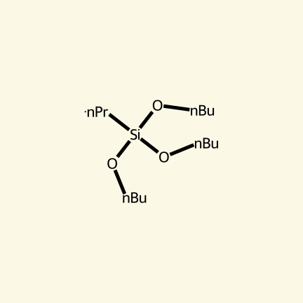 CC[CH][Si](OCCCC)(OCCCC)OCCCC